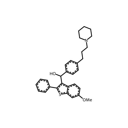 COc1ccc2c(C(O)c3ccc(CCCN4CCCCC4)cc3)c(-c3ccccc3)sc2c1